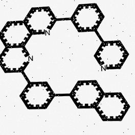 c1cncc(-c2cccc(-c3ccc4ccc5ccc(-c6cccc(-c7ccc8ccccc8c7)c6)nc5c4n3)c2)c1